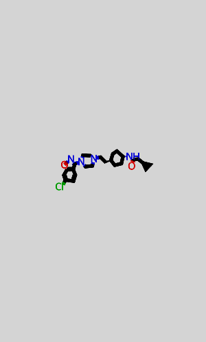 O=C(CC1CC1)N[C@H]1CC[C@H](CCN2CCN(c3noc4cc(Cl)ccc34)CC2)CC1